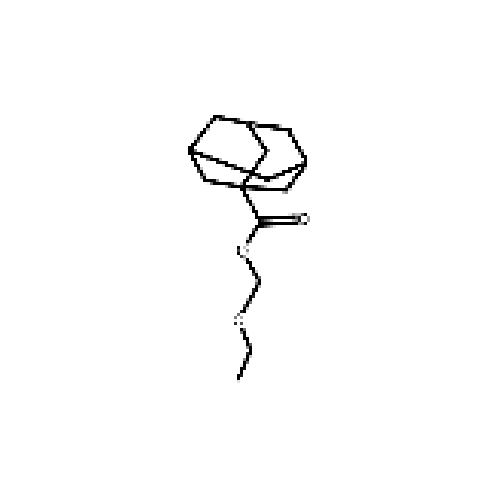 CCOCOC(=O)C12CC3CC(CC(C3)C1)C2